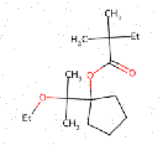 CCOC(C)(C)C1(OC(=O)C(C)(C)CC)CCCC1